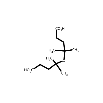 CC(C)(CCC(=O)O)OC(C)(C)CCC(=O)O